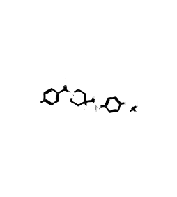 O=C(c1ccc(F)cc1)N1CCC(O)(C(=O)Nc2ccc(OC(F)(F)F)cc2)CC1